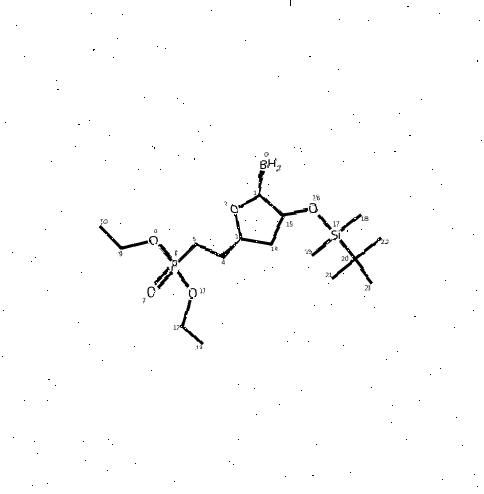 B[C@@H]1O[C@H](CCP(=O)(OCC)OCC)CC1O[Si](C)(C)C(C)(C)C